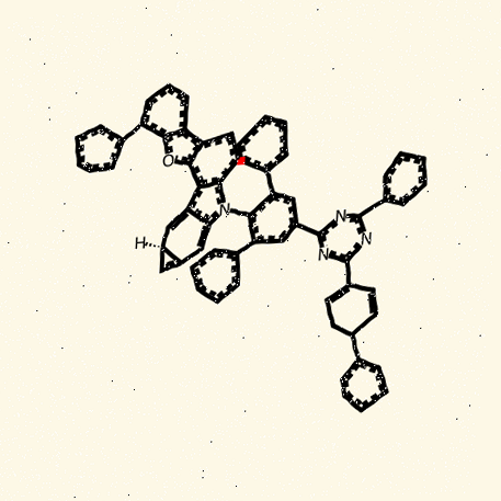 C1=CC(c2ccccc2)CC=C1c1nc(-c2ccccc2)nc(-c2cc(-c3ccccc3)c(-n3c4c(c5c6oc7c(-c8ccccc8)cccc7c6ccc53)=C[C@@H]3C=C3C=4)c(-c3ccccc3)c2)n1